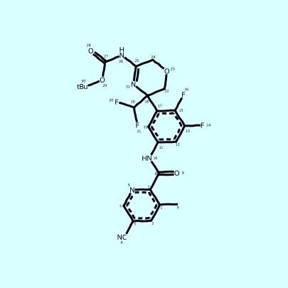 Cc1cc(C#N)cnc1C(=O)Nc1cc(F)c(F)c(C2(C(F)F)COCC(NC(=O)OC(C)(C)C)=N2)c1